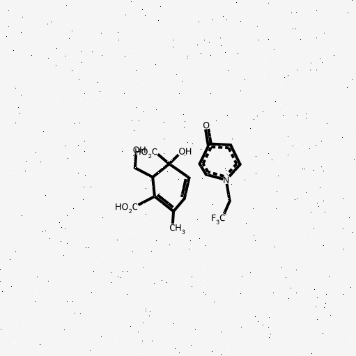 CC1=C(C(=O)O)C(CO)C(O)(C(=O)O)C=C1.O=c1ccn(CC(F)(F)F)cc1